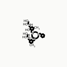 Cc1cc(CNC(O)CO)c(O)c(CN2CCCN(Cc3ccccc3)CCCN(Cc3cc(C)cc(CNC(O)CO)c3O)CCC2)c1